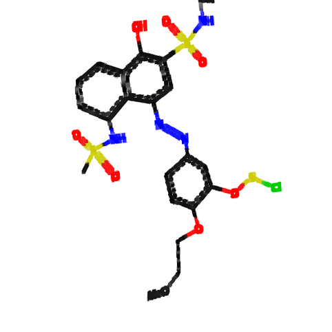 COCCOc1ccc(N=Nc2cc(S(=O)(=O)NC(C)(C)C)c(O)c3cccc(NS(C)(=O)=O)c23)cc1OSCl